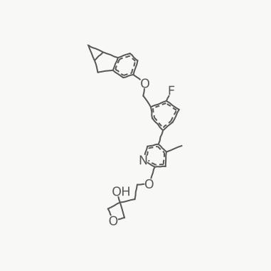 Cc1cc(OCCC2(O)COC2)ncc1-c1ccc(F)c(COc2ccc3c(c2)CC2CC32)c1